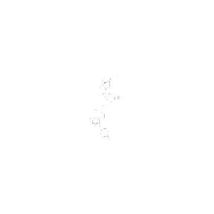 Cn1cc(S(=O)(=O)N(CN)C[C@@]23CCC4=Cc5c(cnn5-c5ccc(F)cc5)C[C@@]42C3)c(C(F)(F)F)n1